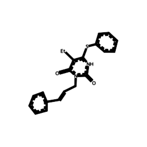 CCc1c(Sc2ccccc2)[nH]c(=O)n(CC=Cc2ccccc2)c1=O